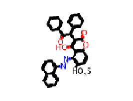 O=C(c1ccccc1)C(c1ccccc1)c1c(O)c2c(/N=N/c3cccc4ccccc34)c(S(=O)(=O)O)ccc2oc1=O